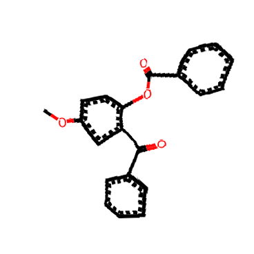 COc1ccc(OC(=O)c2ccccc2)c(C(=O)c2ccccc2)c1